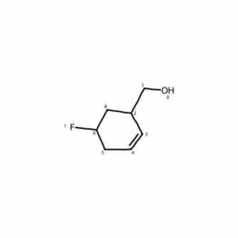 OCC1C=CCC(F)C1